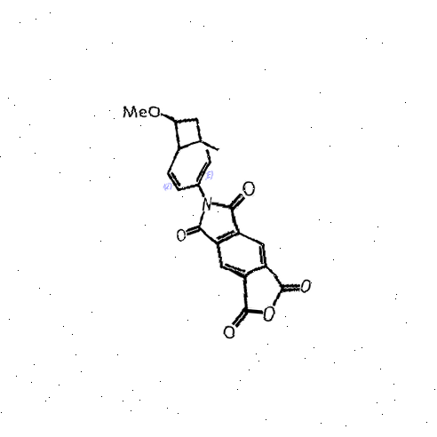 C/C=C(\C=C/C1C(C)CC1OC)n1c(=O)c2cc3c(=O)oc(=O)c3cc2c1=O